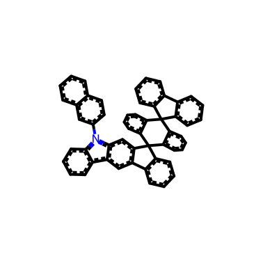 c1ccc2c(c1)-c1ccccc1C21c2ccccc2C2(c3ccccc3-c3cc4c5ccccc5n(-c5ccc6ccccc6c5)c4cc32)c2ccccc21